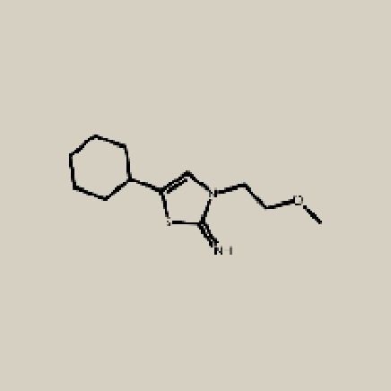 COCCn1cc(C2CCCCC2)sc1=N